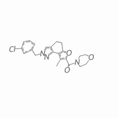 Cc1c(C(=O)N2CCOCC2)oc2c1-c1nn(Cc3cccc(Cl)c3)cc1CC2